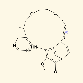 CC1COCCCC/C=N\C2C=Cc3cc2c(c2c3OCO2)NC2=C1CN=CN2